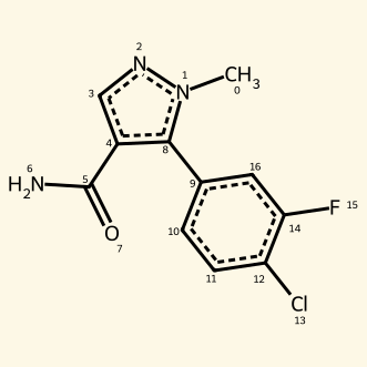 Cn1ncc(C(N)=O)c1-c1ccc(Cl)c(F)c1